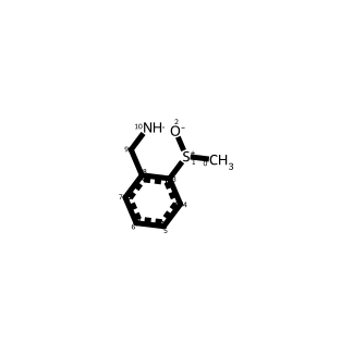 C[S+]([O-])c1ccccc1C[NH]